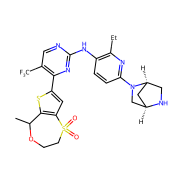 CCc1nc(N2C[C@H]3C[C@@H]2CN3)ccc1Nc1ncc(C(F)(F)F)c(-c2cc3c(s2)C(C)OCCS3(=O)=O)n1